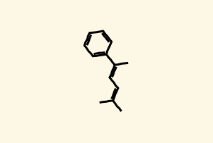 CC(C)=C/C=C(\C)c1ccccc1